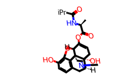 CC(C)C(=O)N[C@@H](C)C(=O)OC1=CC[C@@]2(O)[C@H]3Cc4ccc(O)c5c4[C@@]2(CCN3C)[C@H]1O5